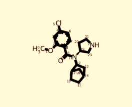 COc1cc(Cl)ccc1C(=O)N(C1CC2CCC1C2)[C@H]1CCNC1